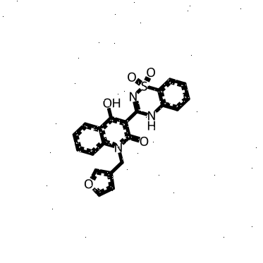 O=c1c(C2=NS(=O)(=O)c3ccccc3N2)c(O)c2ccccc2n1Cc1ccoc1